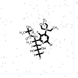 CC[Si](CC)(CC)c1cc(Br)nc(C(C)(N[S@+]([O-])C(C)(C)C)C(F)(F)C(O)(O)C(F)(F)F)c1F